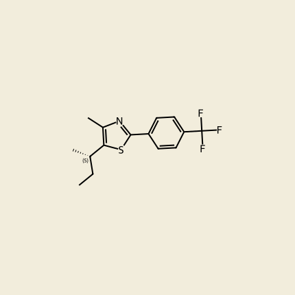 CC[C@H](C)c1sc(-c2ccc(C(F)(F)F)cc2)nc1C